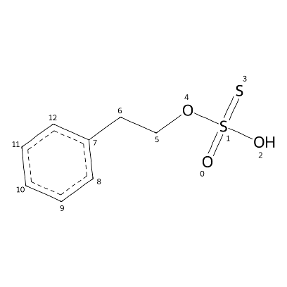 O=S(O)(=S)OCCc1ccccc1